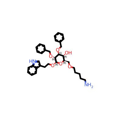 NCCCCCOC[C@H]1O[C@@H](OCCc2c[nH]c3ccccc23)[C@H](OCc2ccccc2)[C@@H](OCc2ccccc2)[C@@H]1O